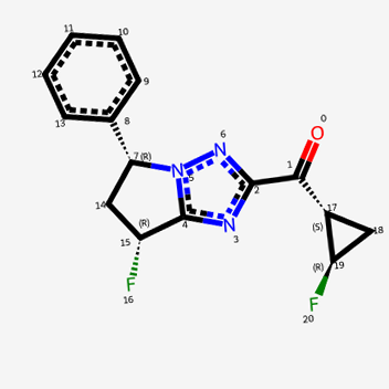 O=C(c1nc2n(n1)[C@@H](c1ccccc1)C[C@H]2F)[C@@H]1C[C@H]1F